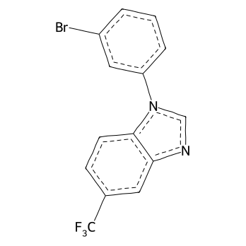 FC(F)(F)c1ccc2c(c1)ncn2-c1cccc(Br)c1